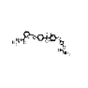 CC(C)(c1ccc(OCc2cccc(C(=O)NN)n2)cc1)c1ccc(O[C@H]2C[C@H](OC(N)=O)C2)cc1